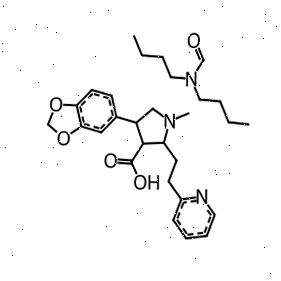 CCCCN(C=O)CCCC.CN1CC(c2ccc3c(c2)OCO3)C(C(=O)O)C1CCc1ccccn1